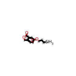 O=C1OCc2c1c1oc2cc1OCCC[SiH3]